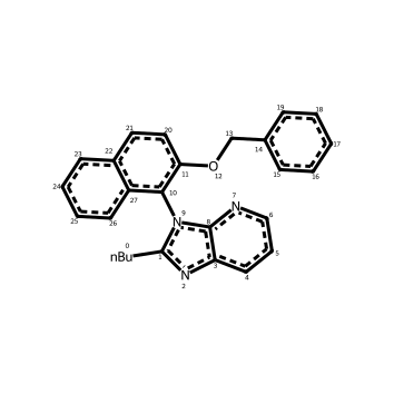 CCCCc1nc2cccnc2n1-c1c(OCc2ccccc2)ccc2ccccc12